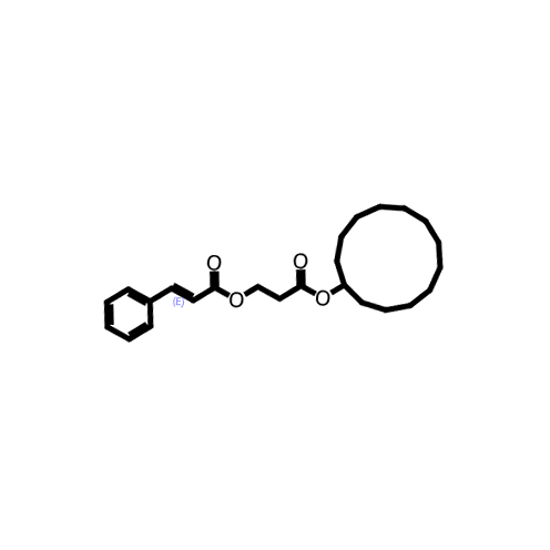 O=C(/C=C/c1ccccc1)OCCC(=O)OC1CCCCCCCCCCCC1